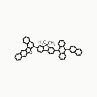 CC1(C)c2cc(-c3c4ccccc4c(-c4ccc5ccccc5c4)c4ccccc34)ccc2-c2ccc(-c3cc4ccccc4c4c3oc3cc5ccccc5cc34)cc21